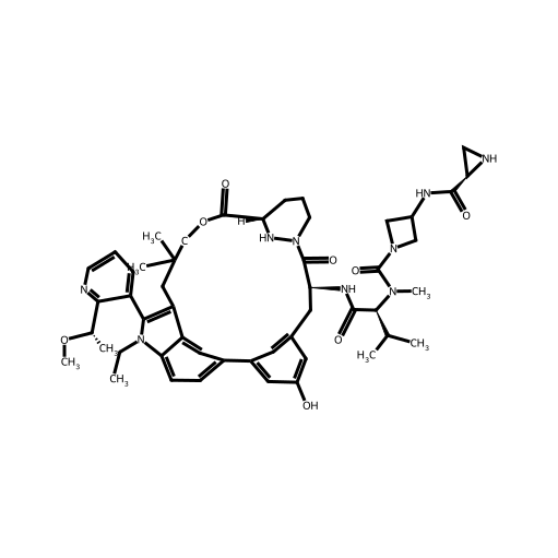 CCn1c(-c2cccnc2[C@H](C)OC)c2c3cc(ccc31)-c1cc(O)cc(c1)C[C@H](NC(=O)[C@H](C(C)C)N(C)C(=O)N1CC(NC(=O)[C@H]3CN3)C1)C(=O)N1CCC[C@H](N1)C(=O)OCC(C)(C)C2